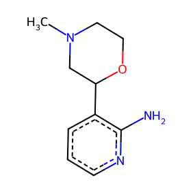 CN1CCOC(c2cccnc2N)C1